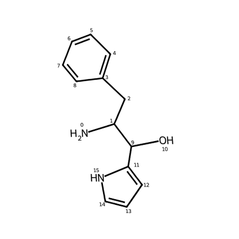 NC(Cc1ccccc1)C(O)c1ccc[nH]1